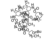 CCCCOCC(CN1CC1C)OC(=O)NC1CC(C)(C)CC(C)(Cn2c(=O)n(CC3(C)CC(NC(=O)OC(COCCCC)CN4CC4C)CC(C)(C)C3)c(=O)n(CC3(C)CC(NC(=O)OC(COCCCC)CN4CC4C)CC(C)(C)C3)c2=O)C1